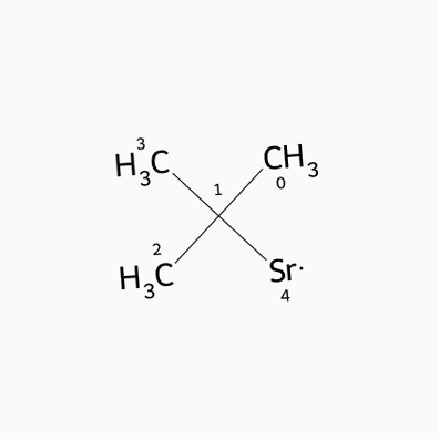 C[C](C)(C)[Sr]